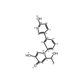 CC(O)c1cc(=O)c(O)cn1-c1cccc(-c2ccc(O)nc2)c1